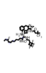 C\C=C(F)/C=C\C=C\CCC/C(=C(/NC(=O)CC1CC(F)(F)C1(F)F)N(N)C1CC(c2c(Cc3cccc(F)c3)nn(C)c2NC(=O)CC(C)(C)C(F)(F)F)C1)C(C)CC